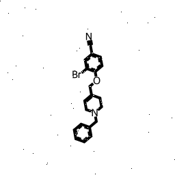 N#Cc1ccc(OCC2=CCN(Cc3ccccc3)CC2)c(Br)c1